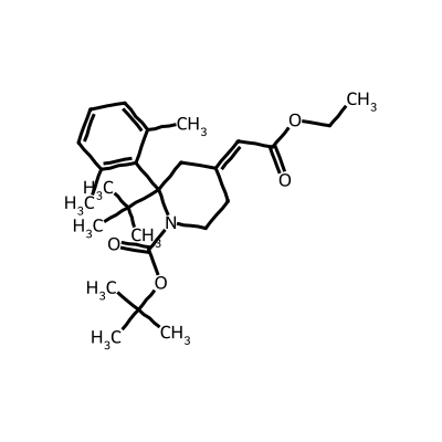 CCOC(=O)C=C1CCN(C(=O)OC(C)(C)C)C(c2c(C)cccc2C)(C(C)(C)C)C1